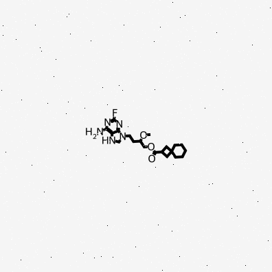 COC(CCN1CNc2c(N)nc(F)nc21)COC(=O)C1CC2(CCCCC2)C1